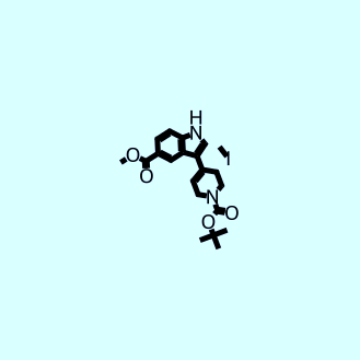 CI.COC(=O)c1ccc2[nH]cc(C3=CCN(C(=O)OC(C)(C)C)CC3)c2c1